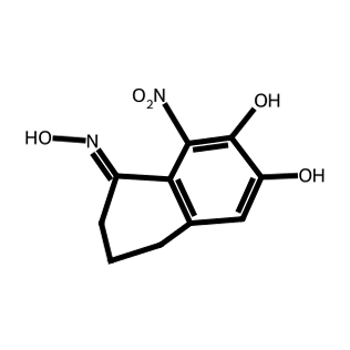 O=[N+]([O-])c1c(O)c(O)cc2c1C(=NO)CCC2